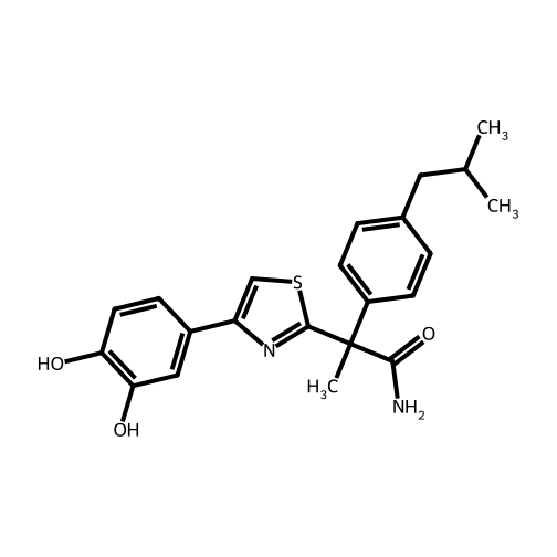 CC(C)Cc1ccc(C(C)(C(N)=O)c2nc(-c3ccc(O)c(O)c3)cs2)cc1